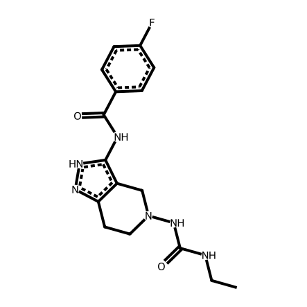 CCNC(=O)NN1CCc2n[nH]c(NC(=O)c3ccc(F)cc3)c2C1